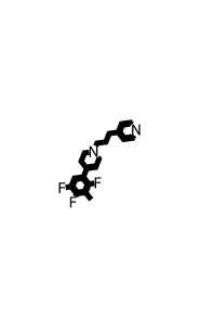 Cc1c(F)c(F)cc(C2=CCN(CCCc3ccncc3)CC2)c1F